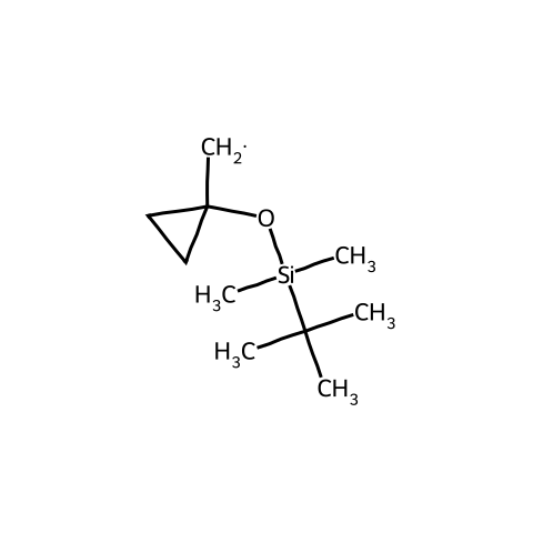 [CH2]C1(O[Si](C)(C)C(C)(C)C)CC1